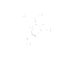 CCC(=O)NC(C(C)C)S(=O)(=O)O